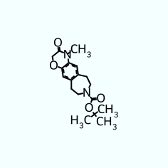 CN1C(=O)COc2cc3c(cc21)CCN(C(=O)OC(C)(C)C)CC3